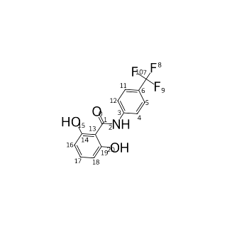 O=C(Nc1ccc(C(F)(F)F)cc1)c1c(O)cccc1O